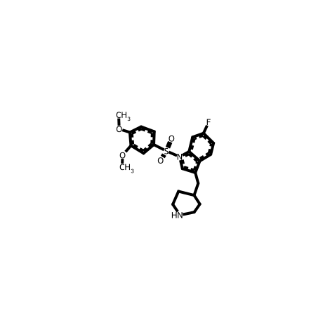 COc1ccc(S(=O)(=O)n2cc(CC3CCNCC3)c3ccc(F)cc32)cc1OC